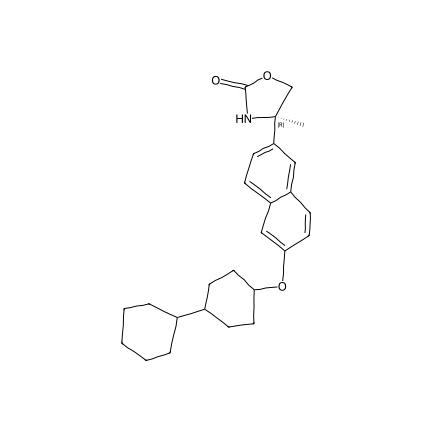 C[C@@]1(c2ccc3cc(OC4CCC(C5CCCCC5)CC4)ccc3c2)COC(=O)N1